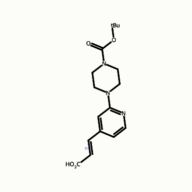 CC(C)(C)OC(=O)N1CCN(c2cc(/C=C/C(=O)O)ccn2)CC1